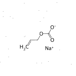 C=CCOC(=O)[O-].[Na+]